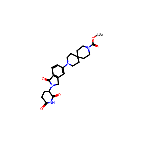 CC(C)(C)OC(=O)N1CCC2(CC1)CCN(c1ccc3c(c1)CN(C1CCC(=O)NC1=O)C3=O)CC2